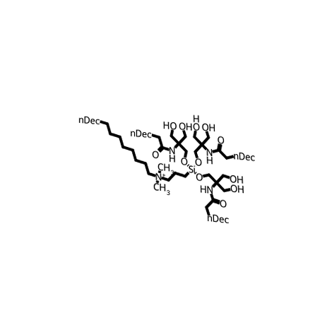 CCCCCCCCCCCCCCCCCC[N+](C)(C)CCC[Si](OCC(CO)(CO)NC(=O)CCCCCCCCCCC)(OCC(CO)(CO)NC(=O)CCCCCCCCCCC)OCC(CO)(CO)NC(=O)CCCCCCCCCCC